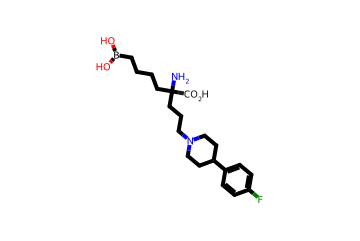 NC(CCCCB(O)O)(CCCN1CCC(c2ccc(F)cc2)CC1)C(=O)O